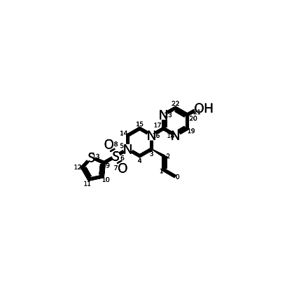 CC=C[C@H]1CN(S(=O)(=O)c2cccs2)CCN1c1ncc(O)cn1